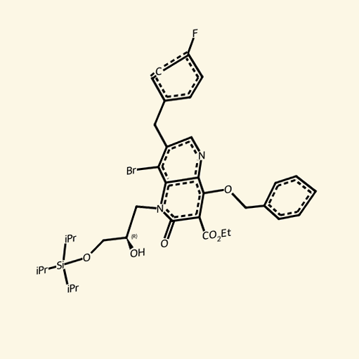 CCOC(=O)c1c(OCc2ccccc2)c2ncc(Cc3ccc(F)cc3)c(Br)c2n(C[C@@H](O)CO[Si](C(C)C)(C(C)C)C(C)C)c1=O